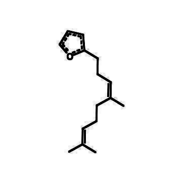 CC(C)=CCCC(C)=CCCc1ccco1